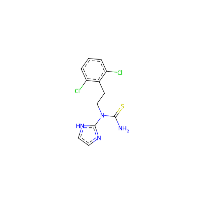 NC(=S)N(CCc1c(Cl)cccc1Cl)c1ncc[nH]1